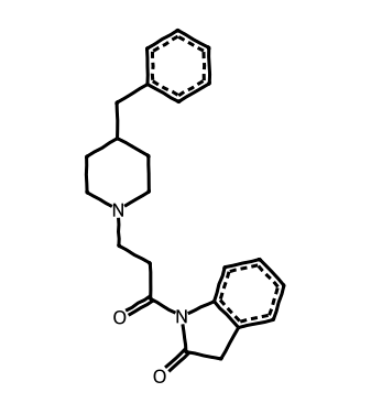 O=C(CCN1CCC(Cc2ccccc2)CC1)N1C(=O)Cc2ccccc21